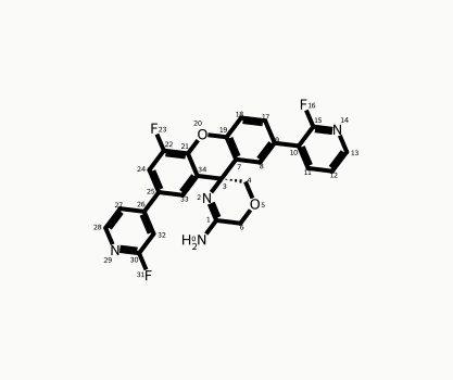 NC1=N[C@]2(COC1)c1cc(-c3cccnc3F)ccc1Oc1c(F)cc(-c3ccnc(F)c3)cc12